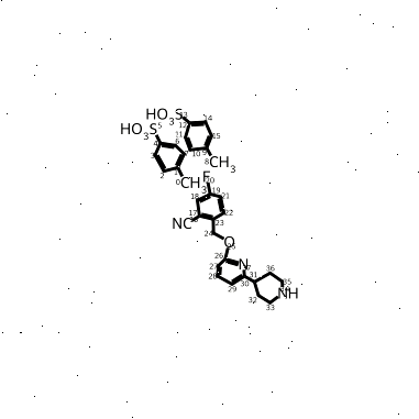 Cc1ccc(S(=O)(=O)O)cc1.Cc1ccc(S(=O)(=O)O)cc1.N#Cc1cc(F)ccc1COc1cccc(C2CCNCC2)n1